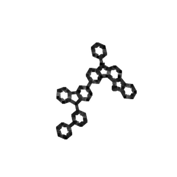 c1ccc(-c2cccc(C3c4ccccc4-c4cc(-c5ccc6c(c5)c5c7oc8ccccc8c7ccc5n6-c5ccccc5)ccc43)c2)cc1